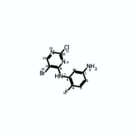 Nc1ccc(F)c(Nc2nc(Cl)ncc2Br)c1